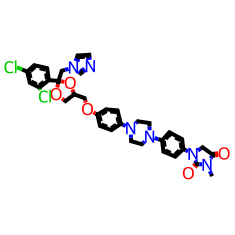 CN1C(=O)CN(c2ccc(N3CCN(c4ccc(OCC5COC(Cn6ccnc6)(c6ccc(Cl)cc6Cl)O5)cc4)CC3)cc2)C1=O